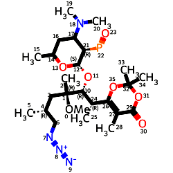 CO[C@](C)(C[C@@H](C)CN=[N+]=[N-])[C@H](O[C@@H]1OC(C)CC(N(C)C)[C@H]1P=O)[C@@H](C)C1=C(C)C(=O)OC(C)(C)O1